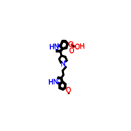 COc1ccc2[nH]cc(CCCN3CCC(c4c[nH]c5ccc(OC(=O)O)cc45)CC3)c2c1